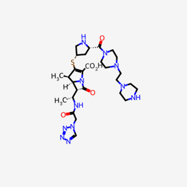 C[C@@H](NC(=O)Cn1cnnn1)[C@H]1C(=O)N2C(C(=O)O)=C(S[C@@H]3CN[C@H](C(=O)N4CCN(CCN5CCNCC5)CC4)C3)[C@H](C)[C@H]12